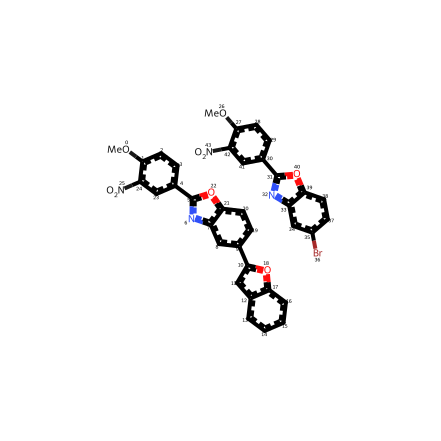 COc1ccc(-c2nc3cc(-c4cc5ccccc5o4)ccc3o2)cc1[N+](=O)[O-].COc1ccc(-c2nc3cc(Br)ccc3o2)cc1[N+](=O)[O-]